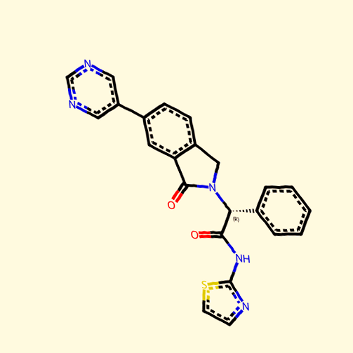 O=C(Nc1nccs1)[C@@H](c1ccccc1)N1Cc2ccc(-c3cncnc3)cc2C1=O